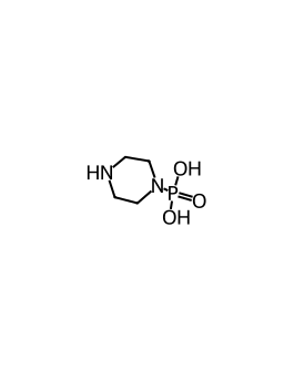 O=P(O)(O)N1CCNCC1